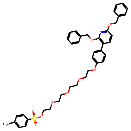 Cc1ccc(S(=O)(=O)OCCOCCOCCOCCOc2ccc(-c3ccc(OCc4ccccc4)nc3OCc3ccccc3)cc2)cc1